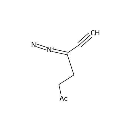 C#CC(CCC(C)=O)=[N+]=[N-]